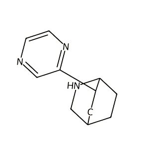 c1cnc(C2CC3CCC2NC3)cn1